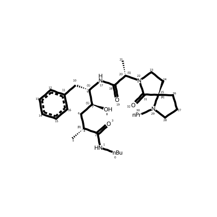 CCCCNC(=O)[C@H](C)C[C@H](O)[C@H](Cc1ccccc1)NC(=O)[C@H](C)N1CC[C@]2(CCCN2CCC)C1=O